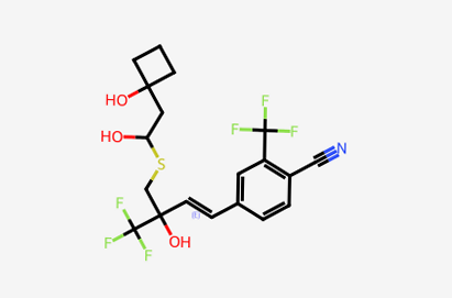 N#Cc1ccc(/C=C/C(O)(CSC(O)CC2(O)CCC2)C(F)(F)F)cc1C(F)(F)F